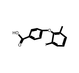 Cc1cccc(I)c1Oc1ccc(C(=O)O)cc1